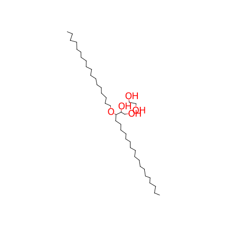 CCCCCCCCCCCCCCCCCCOC(CCCCCCCCCCCCCCCCCC)C(O)CO.OCCO